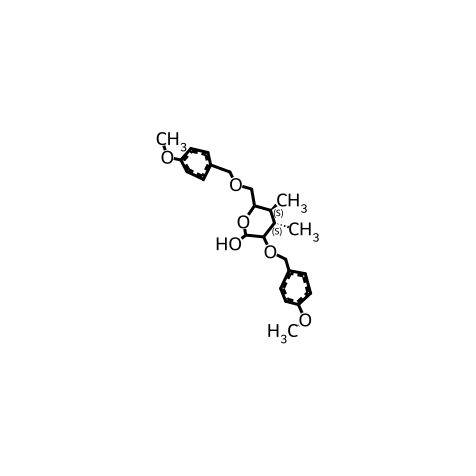 COc1ccc(COCC2OC(O)C(OCc3ccc(OC)cc3)[C@@H](C)[C@@H]2C)cc1